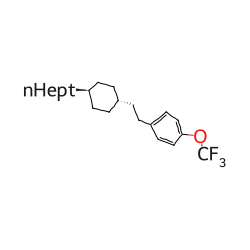 CCCCCCC[C@H]1CC[C@H](CCc2ccc(OC(F)(F)F)cc2)CC1